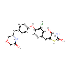 O=C1COCC(Cc2ccc(Oc3ccc(/C=C4/SC(=O)NC4=O)cc3Cl)cc2)N1